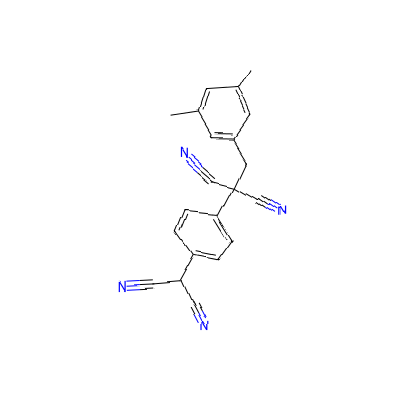 Cc1cc(C)cc(CC(C#N)(C#N)c2ccc(C(C#N)C#N)cc2)c1